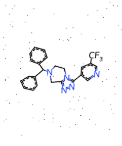 FC(F)(F)c1cncc(-c2nnc3n2CCN(C(c2ccccc2)c2ccccc2)C3)c1